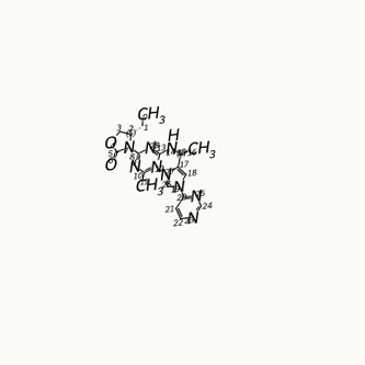 CC[C@H]1COC(=O)N1c1nc(C)nc(N[C@@H](C)c2cn(-c3ccncn3)cn2)n1